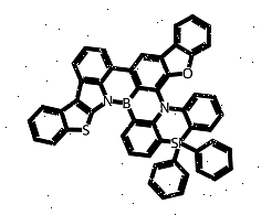 c1ccc([Si]2(c3ccccc3)c3ccccc3N3c4c(cccc42)B2c4c(cc5c(oc6ccccc65)c43)-c3cccc4c5c6ccccc6sc5n2c34)cc1